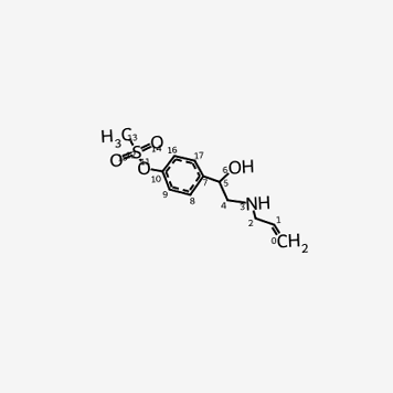 C=CCNCC(O)c1ccc(OS(C)(=O)=O)cc1